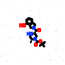 C[C@@H]1CN[C@H](C(=O)N2Cc3cccc(O)c3C2)CN1C(=O)OC(C)(C)C